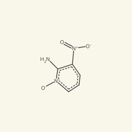 Nc1c([N+](=O)[O-])ccc[n+]1[O-]